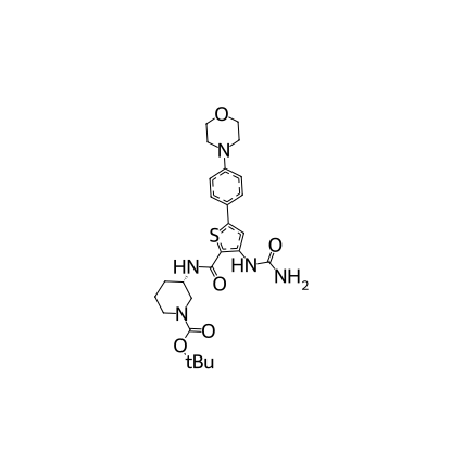 CC(C)(C)OC(=O)N1CCC[C@H](NC(=O)c2sc(-c3ccc(N4CCOCC4)cc3)cc2NC(N)=O)C1